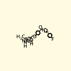 CC1=NNNN1C[C@@H](O)COc1ccc(C(=O)N2CC[C@H](c3ccc(F)cc3)C2)cc1